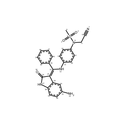 CS(=O)(=O)N(CC#N)c1ccc(NC(=C2C(=O)Nc3ccc(N)cc32)c2ccccc2)cc1